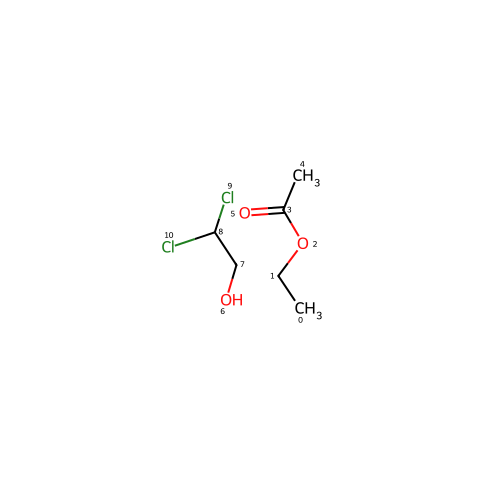 CCOC(C)=O.OCC(Cl)Cl